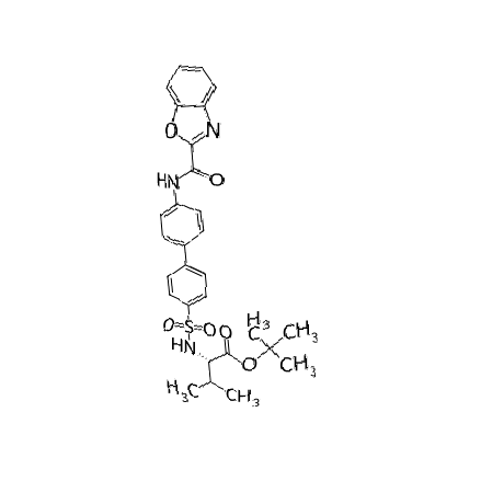 CC(C)[C@H](NS(=O)(=O)c1ccc(-c2ccc(NC(=O)c3nc4ccccc4o3)cc2)cc1)C(=O)OC(C)(C)C